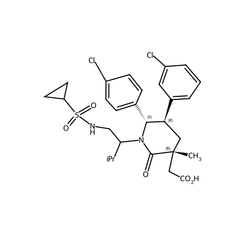 CC(C)C(CNS(=O)(=O)C1CC1)N1C(=O)[C@@](C)(CC(=O)O)C[C@H](c2cccc(Cl)c2)[C@H]1c1ccc(Cl)cc1